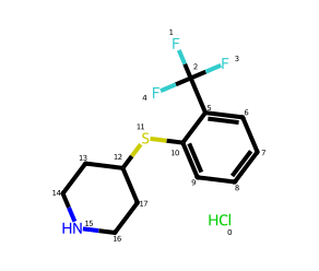 Cl.FC(F)(F)c1ccccc1SC1CCNCC1